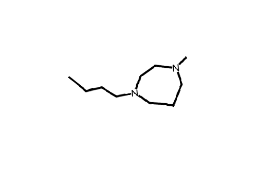 CCCCN1CCCN(C)CC1